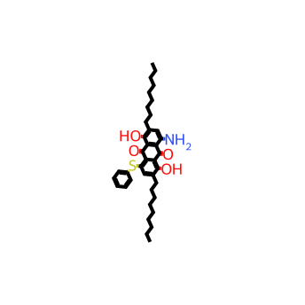 CCCCCCCCCc1cc(N)c2c(c1O)C(=O)c1c(Sc3ccccc3)cc(CCCCCCCCC)c(O)c1C2=O